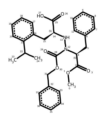 COC(=O)[C@H](Cc1ccccc1)N(N[C@@H](Cc1ccccc1C(C)C)C(=O)O)C(=O)OCc1ccccc1